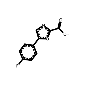 O=C(O)c1ncc(-c2ccc(F)cc2)o1